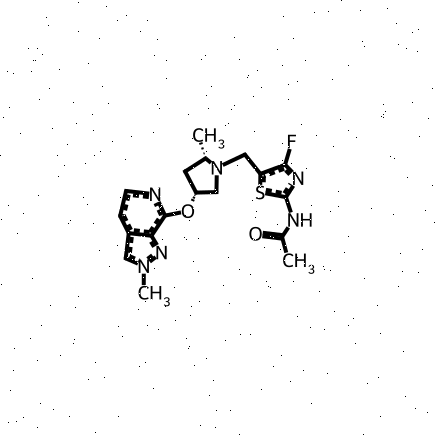 CC(=O)Nc1nc(F)c(CN2C[C@H](Oc3nccc4cn(C)nc34)C[C@@H]2C)s1